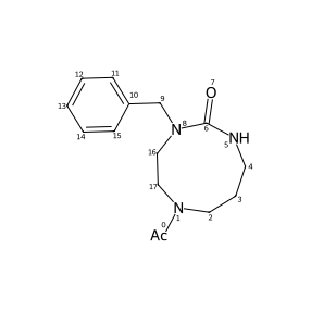 CC(=O)N1CCCNC(=O)N(Cc2ccccc2)CC1